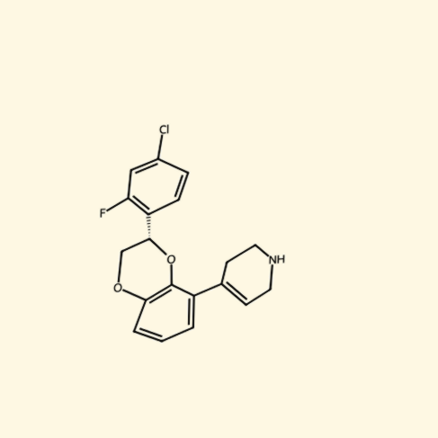 Fc1cc(Cl)ccc1[C@H]1COc2cccc(C3=CCNCC3)c2O1